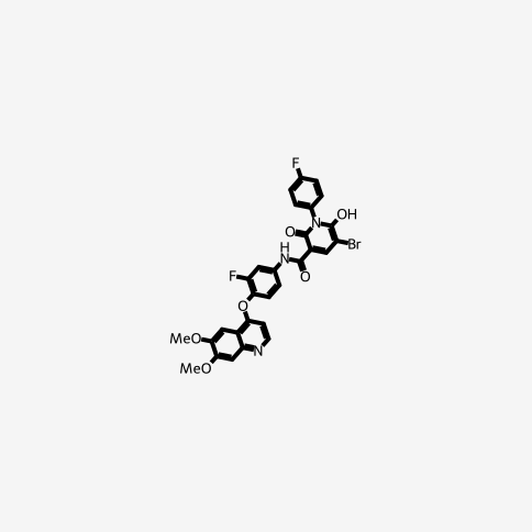 COc1cc2nccc(Oc3ccc(NC(=O)c4cc(Br)c(O)n(-c5ccc(F)cc5)c4=O)cc3F)c2cc1OC